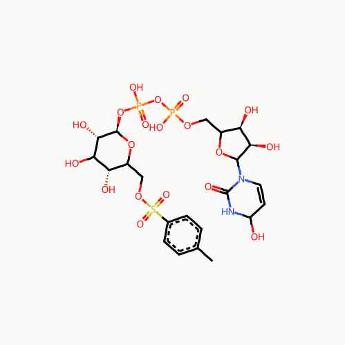 Cc1ccc(S(=O)(=O)OCC2O[C@H](OP(=O)(O)OP(=O)(O)OCC3OC(N4C=CC(O)NC4=O)[C@H](O)[C@@H]3O)[C@@H](O)C(O)[C@H]2O)cc1